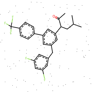 CC(=O)C(CC(C)C)c1cc(Cc2cc(F)cc(F)c2)cc(-c2ccc(C(F)(F)F)cc2)c1